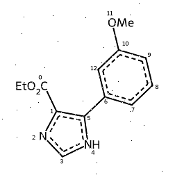 CCOC(=O)c1nc[nH]c1-c1cccc(OC)c1